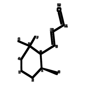 C[C@H]1CCCC(C)(C)C1C=CC=O